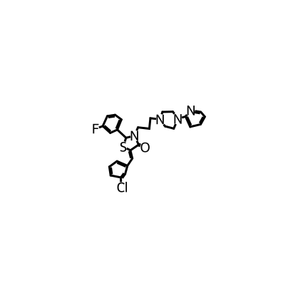 O=C1/C(=C/c2cccc(Cl)c2)SC(c2cccc(F)c2)N1CCCN1CCN(c2ccccn2)CC1